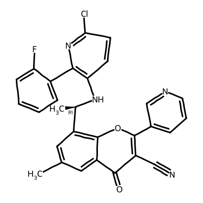 Cc1cc([C@@H](C)Nc2ccc(Cl)nc2-c2ccccc2F)c2oc(-c3cccnc3)c(C#N)c(=O)c2c1